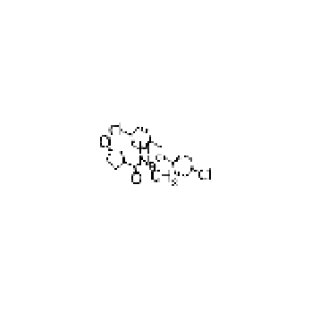 C[C@@H](NC(=O)C1CCC(=O)C1)[C@H](Cc1ccc(Cl)cc1)c1ccc(Cl)cc1